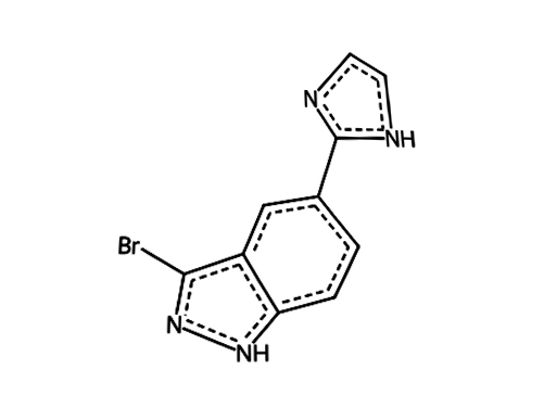 Brc1n[nH]c2ccc(-c3ncc[nH]3)cc12